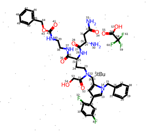 CC(C)(C)[C@H](c1cc(-c2cc(F)ccc2F)cn1Cc1ccccc1)N(CC[C@H](NC(=O)[C@@H](N)CC(N)=O)C(=O)NCCNC(=O)OCc1ccccc1)C(=O)CO.O=C(O)C(F)(F)F